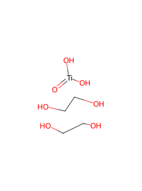 OCCO.OCCO.[O]=[Ti]([OH])[OH]